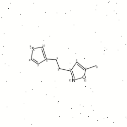 Cc1cc([CH]Cc2ccsc2)no1